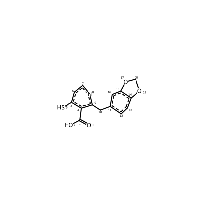 O=C(O)c1c(S)ccnc1Cc1ccc2c(c1)OCO2